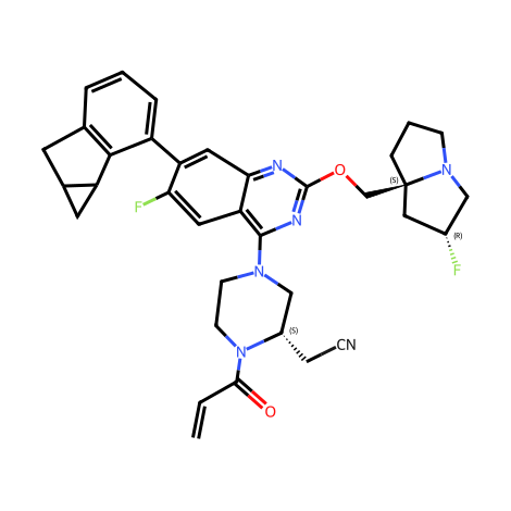 C=CC(=O)N1CCN(c2nc(OC[C@@]34CCCN3C[C@H](F)C4)nc3cc(-c4cccc5c4C4CC4C5)c(F)cc23)C[C@@H]1CC#N